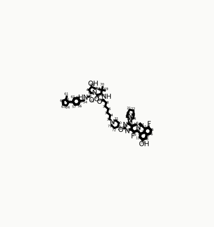 C#Cc1c(F)ccc2cc(O)cc(-c3ncc4c(N5CC6CCC(C5)N6)nc(OC5CCN(CCCCCCC(=O)N[C@H](C(=O)N6C[C@H](O)C[C@H]6C(=O)NCc6ccc(C7=C(C)C=CC7)cc6)C(C)(C)C)CC5)nc4c3F)c12